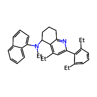 CCc1cccc(CC)c1-c1cc(CC)c2c(n1)CCCC2N(CC)c1cccc2ccccc12